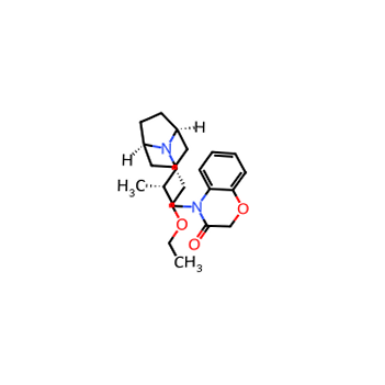 CCOCC[C@@H]1C[C@H]2CC[C@@H](C1)N2C[C@@H](C)CN1C(=O)COc2ccccc21